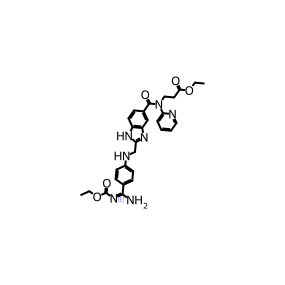 CCOC(=O)CCN(C(=O)c1ccc2[nH]c(CNc3ccc(/C(N)=N\C(=O)OCC)cc3)nc2c1)c1ccccn1